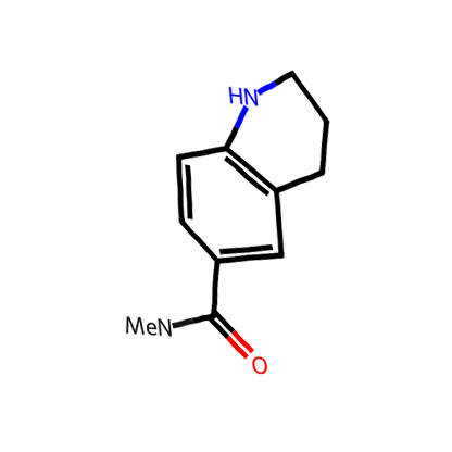 CNC(=O)c1ccc2c(c1)CCCN2